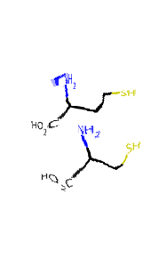 NC(CCS)C(=O)O.NC(CS)C(=O)O